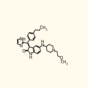 CCCc1ccc(/C(=C2/C(=O)Nc3ccc(NC4CCN(CCOC)CC4)cc32)c2ncc[nH]2)cc1